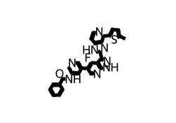 Cc1ccc(-c2nccc3[nH]c(-c4n[nH]c5ncc(-c6cncc(NC(=O)c7ccccc7)c6)c(F)c45)nc23)s1